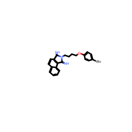 CC(C)(C)c1ccc(OCCCCN2C(=N)c3ccc4ccccc4c3C2=N)cc1